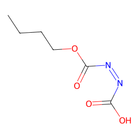 CCCCOC(=O)/N=N\C(=O)O